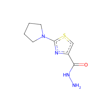 NNC(=O)c1csc(N2CCCC2)n1